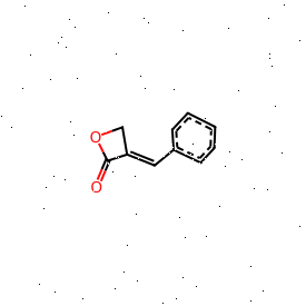 O=C1OCC1=Cc1ccccc1